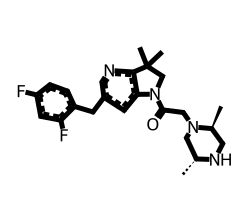 C[C@@H]1CN(CC(=O)N2CC(C)(C)c3ncc(Cc4ccc(F)cc4F)cc32)[C@@H](C)CN1